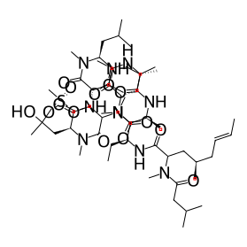 C/C=C/C[C@@H](C)CC(C(=O)N[C@@H](CC)C(=O)N(C)C(COS(C)(=O)=O)C(=O)N(C)[C@@H](CC(C)(C)O)C(=O)N[C@H](C(=O)N(C)[C@@H](CC(C)C)C(=O)N[C@H](C)C(=O)N[C@@H](C)C(=O)N(C)[C@@H](CC(C)C)C(=O)NC)C(C)C)N(C)C(=O)CC(C)C